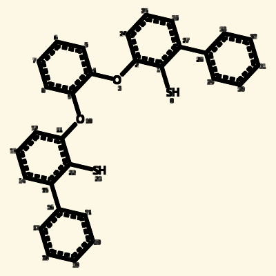 Sc1c(Oc2ccccc2Oc2cccc(-c3ccccc3)c2S)cccc1-c1ccccc1